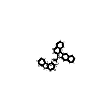 c1ccc2cc3c(cc2c1)c1c2ccccc2ccc1n3-c1nc2c(ccc3sc4ccccc4c32)o1